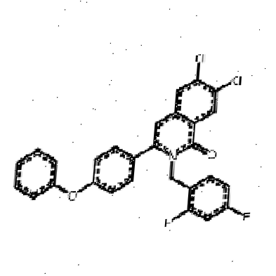 O=c1c2cc(Cl)c(Cl)cc2cc(-c2ccc(Oc3ccccc3)cc2)n1Cc1ccc(F)cc1F